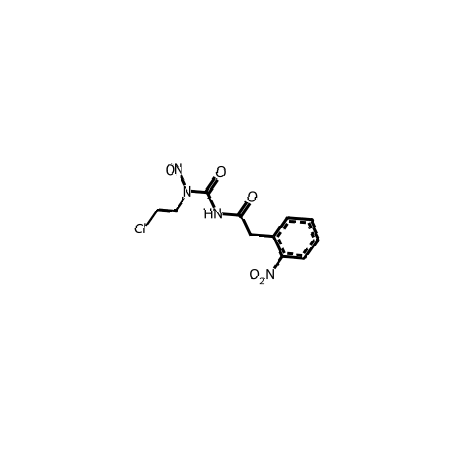 O=NN(CCCl)C(=O)NC(=O)Cc1ccccc1[N+](=O)[O-]